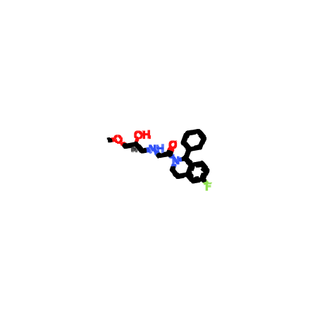 COC[C@@H](O)CNCC(=O)N1CCc2cc(F)ccc2C1C1CCCCC1